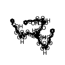 O=C(CCn1c(=O)[nH]c(=O)n(CCC(=O)OCC(O)Cn2c(=O)n(CC(O)COC(=O)CCn3c(=O)[nH]c(=O)n(CCC(=O)OCC(O)COCc4ccccc4)c3=O)c(=O)n(CC(O)COC(=O)CCn3c(=O)[nH]c(=O)n(CCC(=O)OCC(O)COCc4ccccc4)c3=O)c2=O)c1=O)OCC(O)COCc1ccccc1